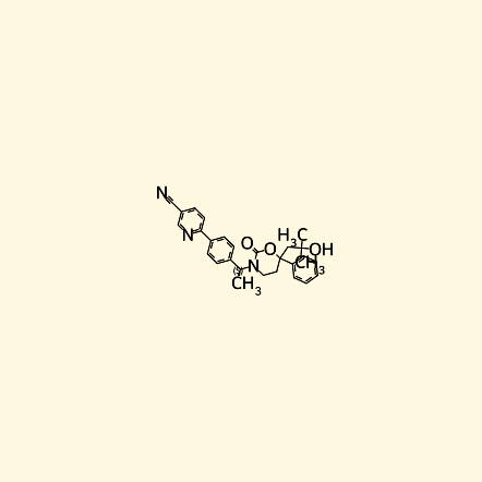 C[C@@H](c1ccc(-c2ccc(C#N)cn2)cc1)N1CCC(CC(C)(C)O)(c2ccccc2)OC1=O